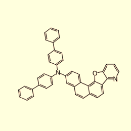 c1ccc(-c2ccc(N(c3ccc(-c4ccccc4)cc3)c3ccc4c(ccc5ccc6c7ncccc7oc6c54)c3)cc2)cc1